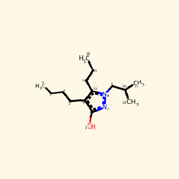 CCCCc1c(O)nn(CC(C)C)c1CCC